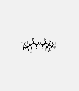 FC(OC(F)=C(F)C(F)(F)C(F)(C(F)(F)F)C(F)(F)F)=C(F)C(F)(F)C(F)(C(F)(F)F)C(F)(F)F